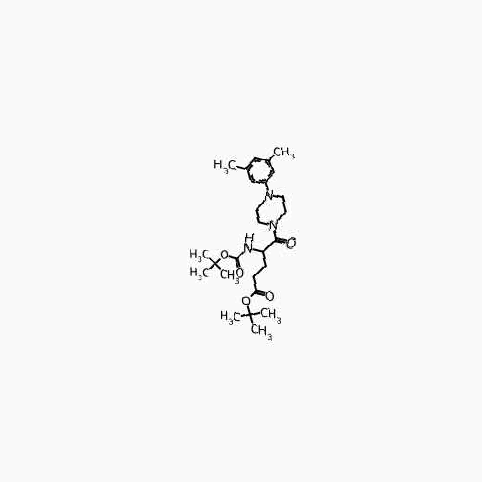 Cc1cc(C)cc(N2CCN(C(=O)C(CCC(=O)OC(C)(C)C)NC(=O)OC(C)(C)C)CC2)c1